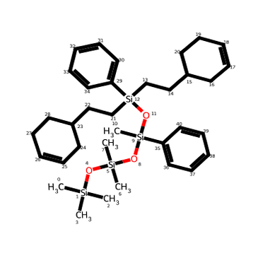 C[Si](C)(C)O[Si](C)(C)O[Si](C)(O[Si](CCC1CC=CCC1)(CCC1CC=CCC1)c1ccccc1)c1ccccc1